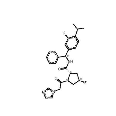 CC(C)c1ccc([C@@H](NC(=O)[C@@H]2C[C@@H](F)CN2C(=O)Cn2ccnc2)c2ccccc2)cc1F